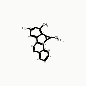 CO[C@@H]1C2c3c(C)cc(C)cc3-c3ccc4ccccc4[n+]3C21